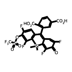 C[Si]1(C)C2=C(F)C(=O)C(F)=CC2=C(c2cc(C(=O)O)ccc2C(=O)O)c2cc(F)c(OS(=O)(=O)C(F)(F)F)c(F)c21